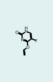 C=COc1nc(=O)[nH]cc1F